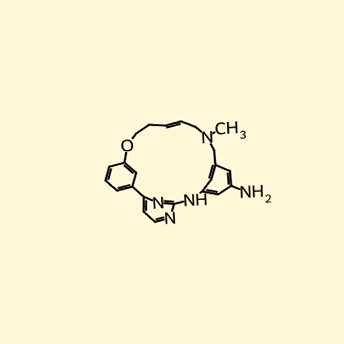 CN1C/C=C/CCOc2cccc(c2)-c2ccnc(n2)Nc2cc(N)cc(c2)C1